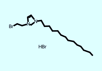 Br.CCCCCCCCCCCCCCN1C=CN(CCBr)C1